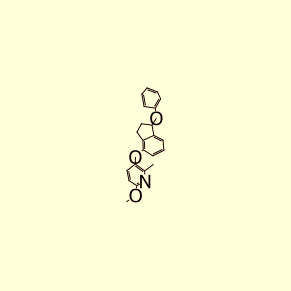 COc1ccc(Oc2cccc3c2CCC3Oc2ccccc2)c(C)n1